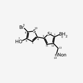 Bc1sc(-c2cc(O)c(Br)s2)cc1CCCCCCCCCC